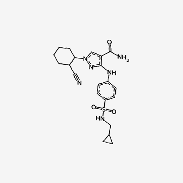 N#CC1CCCCC1n1cc(C(N)=O)c(Nc2ccc(S(=O)(=O)NCC3CC3)cc2)n1